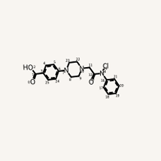 O=C(O)c1ccc(N2CCN(CC(=O)N(Cl)c3ccccc3)CC2)cc1